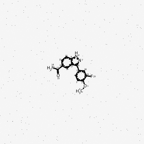 COc1ccc(-c2n[nH]c3ccc(C(N)=O)cc23)cc1F